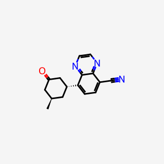 C[C@H]1CC(=O)C[C@H](c2ccc(C#N)c3nccnc23)C1